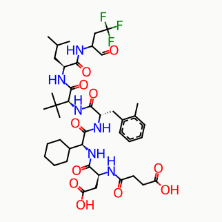 Cc1ccccc1C[C@H](NC(=O)[C@@H](NC(=O)[C@H](CC(=O)O)NC(=O)CCC(=O)O)C1CCCCC1)C(=O)N[C@H](C(=O)N[C@@H](CC(C)C)C(=O)NC(C=O)CC(F)(F)F)C(C)(C)C